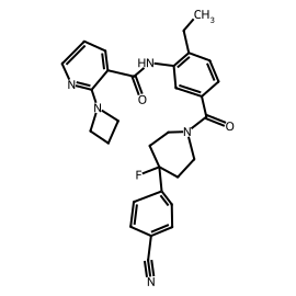 CCc1ccc(C(=O)N2CCC(F)(c3ccc(C#N)cc3)CC2)cc1NC(=O)c1cccnc1N1CCC1